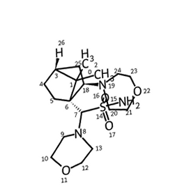 CC1(C)[C@@H]2CC[C@]1(C(N1CCOCC1)S(N)(=O)=O)[C@H](N1CCOCC1)C2